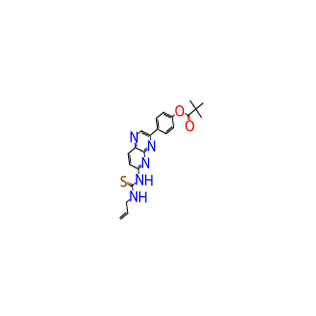 C=CCNC(=S)Nc1ccc2ncc(-c3ccc(OC(=O)C(C)(C)C)cc3)nc2n1